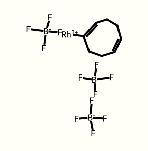 F[B-](F)(F)F.F[B-](F)(F)F.F[B-](F)(F)F.[Rh+3]/[C]1=C/CC/C=C\CC1